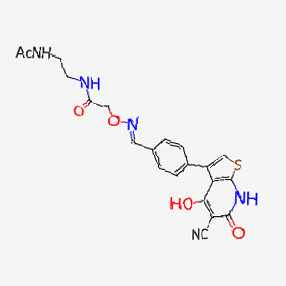 CC(=O)NCCNC(=O)CON=Cc1ccc(-c2csc3[nH]c(=O)c(C#N)c(O)c23)cc1